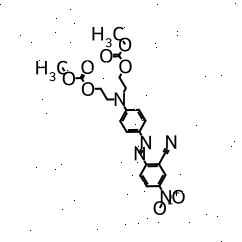 COC(=O)OCCN(CCOC(=O)OC)c1ccc(/N=N/c2ccc([N+](=O)[O-])cc2C#N)cc1